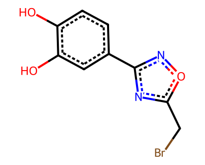 Oc1ccc(-c2noc(CBr)n2)cc1O